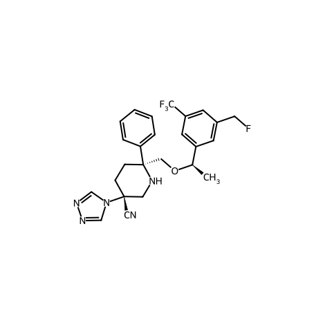 C[C@@H](OC[C@@]1(c2ccccc2)CC[C@@](C#N)(n2cnnc2)CN1)c1cc(CF)cc(C(F)(F)F)c1